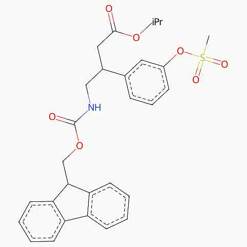 CC(C)OC(=O)CC(CNC(=O)OCC1c2ccccc2-c2ccccc21)c1cccc(OS(C)(=O)=O)c1